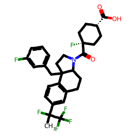 CC(F)(c1ccc2c(c1)CCC1N(C(=O)[C@]3(F)CC[C@@H](C(=O)O)CC3)CCC21Cc1cccc(F)c1)C(F)(F)F